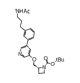 CC(=O)NCCCc1cccc(-c2cncc(OC[C@@H]3CCN3C(=O)OC(C)(C)C)c2)c1